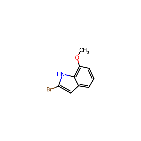 COc1cccc2cc(Br)[nH]c12